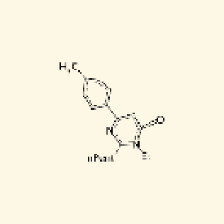 CCCCCc1nc(-c2ccc(C)cc2)cc(=O)n1CC